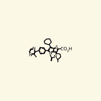 C=C(Cn1c(-c2ccc(-c3nccnc3C)cc2)c(C2CCCCC2)c2sc(C(=O)O)cc21)N1CCCC1C